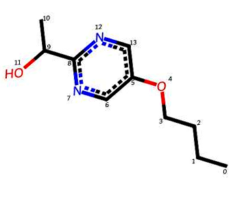 CCCCOc1cnc(C(C)O)nc1